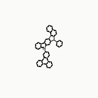 c1ccc(C2c3cc4c(cc3-c3c2ccc2ccccc32)c2ccccc2n4-c2ccc3c4ccccc4c4ccccc4c3c2)cc1